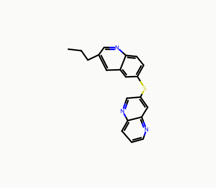 CCCc1cnc2ccc(Sc3cnc4cccnc4c3)cc2c1